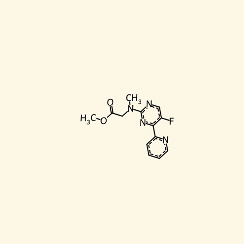 COC(=O)CN(C)c1ncc(F)c(-c2ccccn2)n1